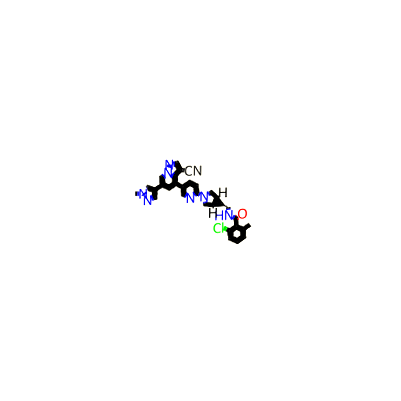 Cc1cccc(Cl)c1C(=O)NC[C@@H]1[C@H]2CN(c3ccc(-c4cc(-c5cnn(C)c5)cn5ncc(C#N)c45)cn3)C[C@@H]12